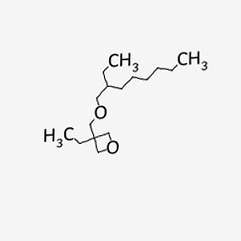 CCCCCCC(CC)COCC1(CC)COC1